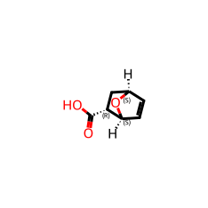 O=C(O)[C@@H]1C[C@H]2C=C[C@@H]1O2